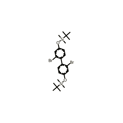 CC(C)(C)[Si](C)(C)Oc1ccc(-c2ccc(O[Si](C)(C)C(C)(C)C)cc2Br)c(Br)c1